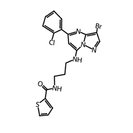 O=C(NCCCNc1cc(-c2ccccc2Cl)nc2c(Br)cnn12)c1cccs1